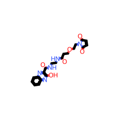 O=C(CCOCCN1C(=O)C=CC1=O)NCCNC(=O)c1nc2ccccc2nc1O